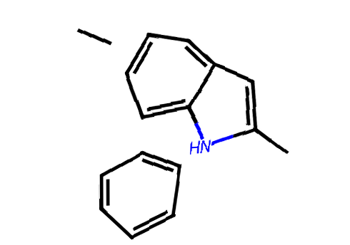 CC.Cc1cc2ccccc2[nH]1.c1ccccc1